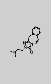 CN(C)CCn1nc2n(c1=O)C=Cc1ccccc1C2